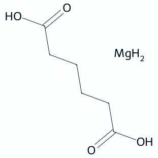 O=C(O)CCCCC(=O)O.[MgH2]